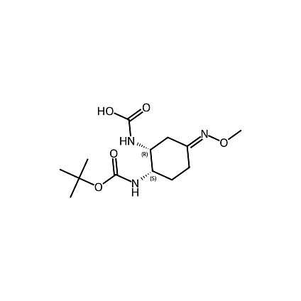 CON=C1CC[C@H](NC(=O)OC(C)(C)C)[C@H](NC(=O)O)C1